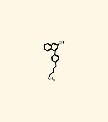 CCCCCc1ccc(-c2cc(O)cc3ccccc23)cc1